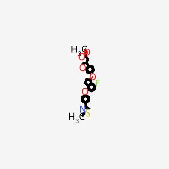 COC(=O)CC1COc2cc(O[C@@H]3CCc4c(Oc5ccc(-c6csc(C)n6)cc5)ccc(F)c43)ccc21